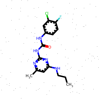 CCCNc1cc(C)nc(NC(=O)Nc2ccc(F)c(Cl)c2)n1